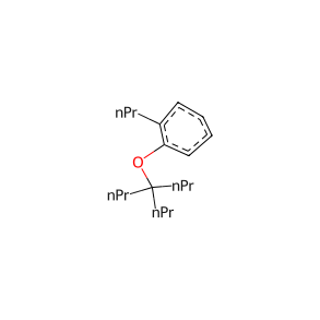 CCCc1ccccc1OC(CCC)(CCC)CCC